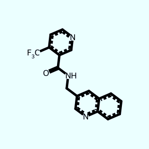 O=C(NCc1cnc2ccccc2c1)c1cnccc1C(F)(F)F